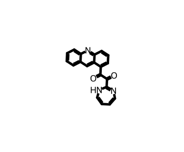 O=C(C(=O)c1cccc2nc3ccccc3cc12)C1=NC=CC=CN1